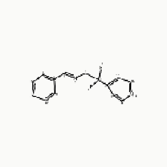 FC(F)(C/N=C/c1ccccc1)c1ccncc1